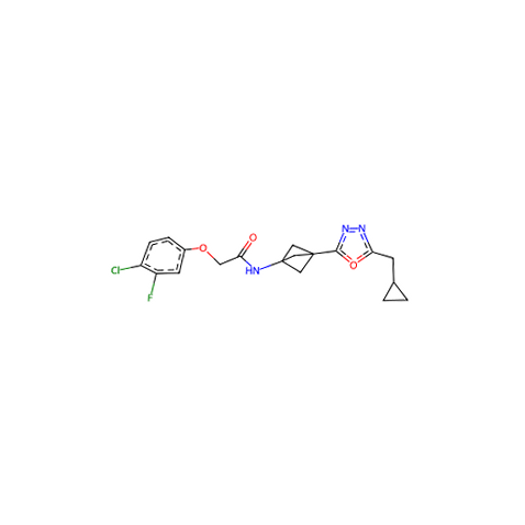 O=C(COc1ccc(Cl)c(F)c1)NC12CC(c3nnc(CC4CC4)o3)(C1)C2